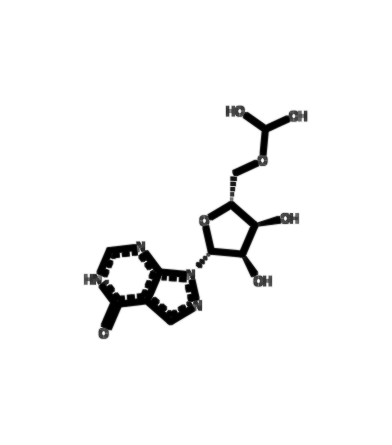 O=c1[nH]cnc2c1cnn2[C@@H]1O[C@H](COC(O)O)[C@@H](O)[C@H]1O